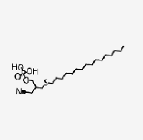 CCCCCCCCCCCCCCCCSCC(CC#N)COP(=O)(O)O